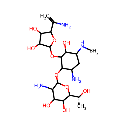 BNC1CC(N)C(OC2OC([C@@H](C)O)C(O)C(O)C2N)C(OC2OC(C(=C)N)C(O)C2O)C1O